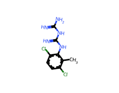 Cc1c(Cl)ccc(Cl)c1NC(=N)NC(=N)N